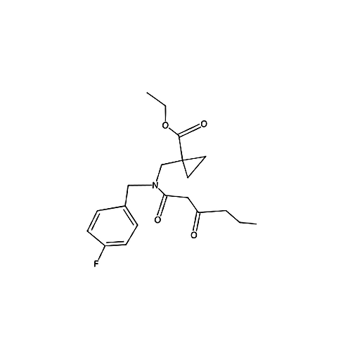 CCCC(=O)CC(=O)N(Cc1ccc(F)cc1)CC1(C(=O)OCC)CC1